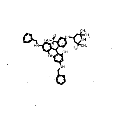 CC1(C)CC(Nc2ccc(C(c3ccc(NCc4ccccc4)cc3O)c3ccc(NCc4ccccc4)cc3O)c(S(=O)(=O)O)c2)CC(C)(C)N1